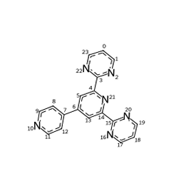 c1cnc(-c2cc(-c3ccncc3)cc(-c3ncccn3)n2)nc1